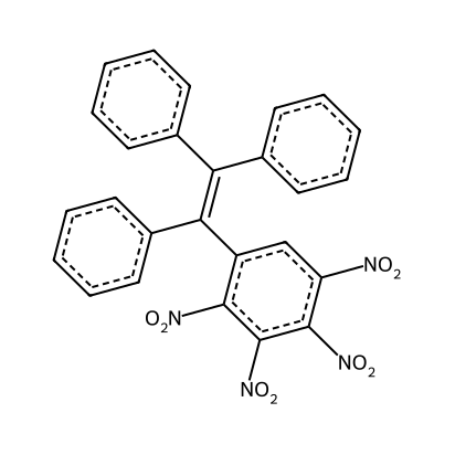 O=[N+]([O-])c1cc(C(=C(c2ccccc2)c2ccccc2)c2ccccc2)c([N+](=O)[O-])c([N+](=O)[O-])c1[N+](=O)[O-]